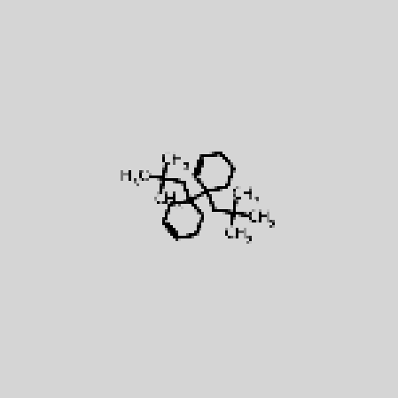 CC(C)(C)CC1(C2(CC(C)(C)C)CC=CCC2)C=CCCC1